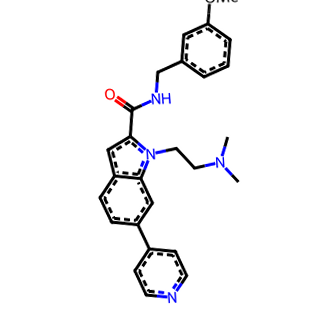 COc1cccc(CNC(=O)c2cc3ccc(-c4ccncc4)cc3n2CCN(C)C)c1